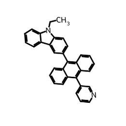 CCn1c2ccccc2c2cc(-c3c4ccccc4c(-c4cccnc4)c4ccccc34)ccc21